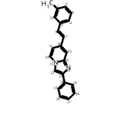 Cc1cccc(/C=C/c2ccn3cc(-c4ccccc4)nc3c2)c1